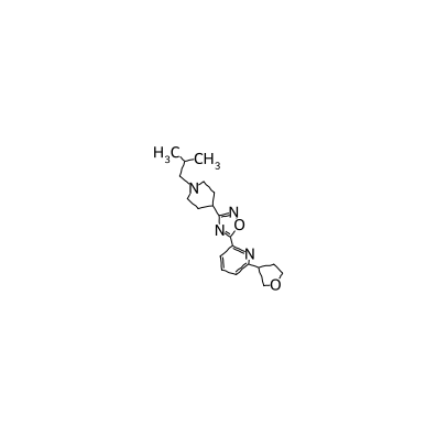 CC(C)CN1CCC(c2noc(-c3cccc(C4CCOC4)n3)n2)CC1